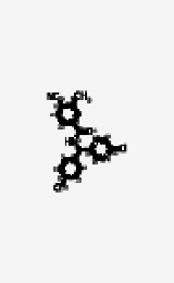 Cc1cc(C(=O)NC(c2ccc(Cl)cc2)c2cnc(Cl)cn2)ccc1C#N